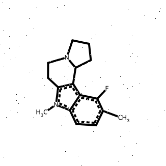 Cc1ccc2c(c1F)c1c(n2C)CCN2CCCC12